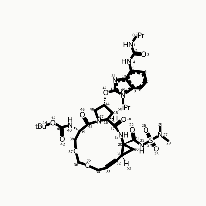 CC(C)NC(=O)Nc1cccc2c1nc(O[C@@H]1C[C@H]3C(=O)N[C@]4(C(=O)NS(=O)(=O)N(C)C)C[C@H]4/C=C\CCCCC[C@H](NC(=O)OC(C)(C)C)C(=O)N3C1)n2C(C)C